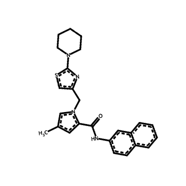 Cc1cc(C(=O)Nc2ccc3ccccc3c2)n(Cc2csc(N3CCCCC3)n2)c1